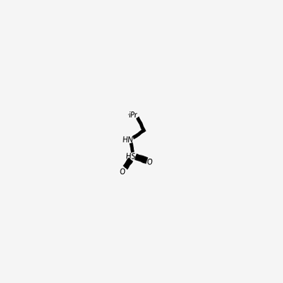 C[C](C)CN[SH](=O)=O